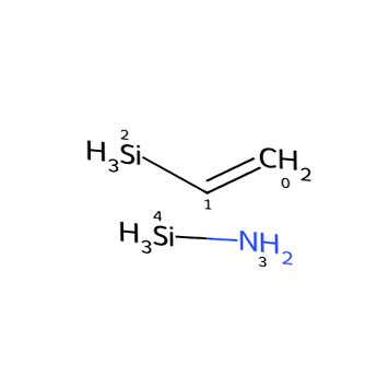 C=C[SiH3].N[SiH3]